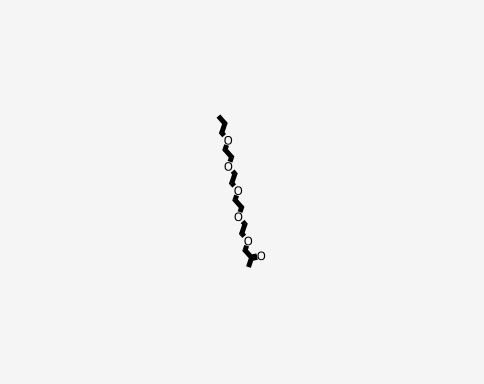 CCCOCCOCCOCCOCCOCC(C)=O